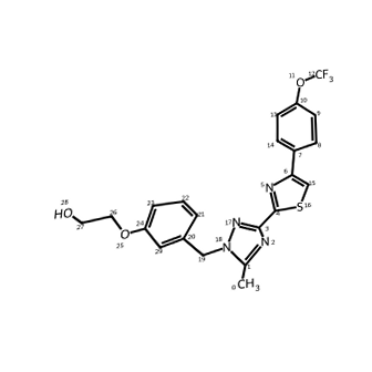 Cc1nc(-c2nc(-c3ccc(OC(F)(F)F)cc3)cs2)nn1Cc1cccc(OCCO)c1